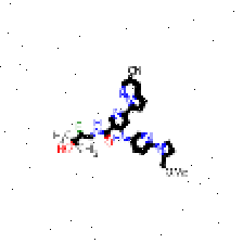 COCC1CCN1c1ccc(Nc2cc(-c3ccc4cc(C#N)cnn34)ncc2C(=O)NCC(F)C(C)(C)O)cn1